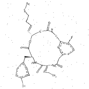 C/C=C1\NC(=O)c2ccc(F)c(n2)CNC(=O)C[C@@H](/C=C/CCSC(C)=O)OC(=O)[C@H](Cc2ccc(O)cc2)NC1=O